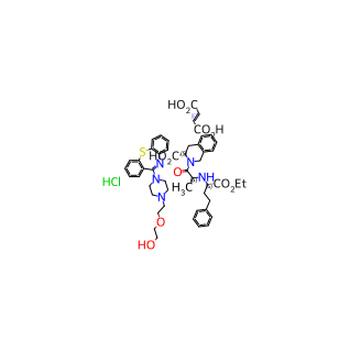 CCOC(=O)[C@H](CCc1ccccc1)N[C@@H](C)C(=O)N1Cc2ccccc2C[C@H]1C(=O)O.Cl.O=C(O)/C=C/C(=O)O.OCCOCCN1CCN(C2=Nc3ccccc3Sc3ccccc32)CC1